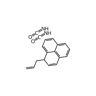 C=CCC1C=Cc2cccc3cccc1c23.N=C=O.N=C=O